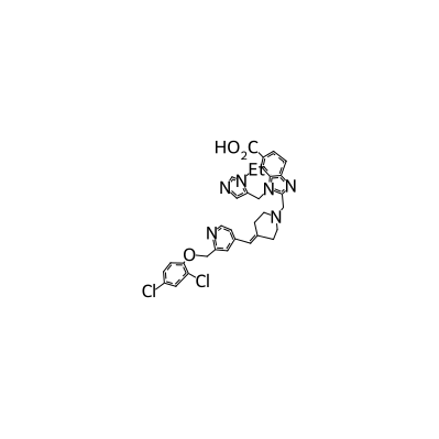 CCn1cncc1Cn1c(CN2CCC(=Cc3ccnc(COc4ccc(Cl)cc4Cl)c3)CC2)nc2ccc(C(=O)O)cc21